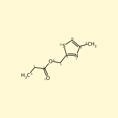 CCC(=O)OCc1nc(C)cs1